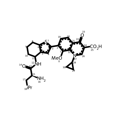 COc1c(-c2cc3c(s2)CCCC3NC(=O)[C@@H](N)CC(C)C)ccc2c(=O)c(C(=O)O)cn(C3CC3)c12